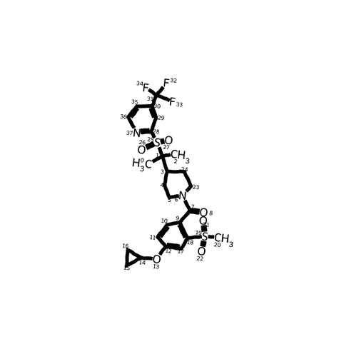 CC(C)(C1CCN(C(=O)c2ccc(OC3CC3)cc2S(C)(=O)=O)CC1)S(=O)(=O)c1cc(C(F)(F)F)ccn1